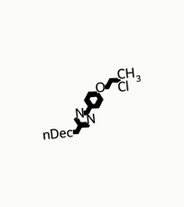 CCCCCCCCCCCc1cnc(-c2ccc(OCCC(C)Cl)cc2)nc1